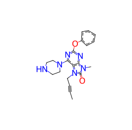 CC#CCn1c(=O)n(C)c2nc(Oc3ccccc3)nc(N3CCNCC3)c21